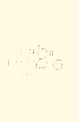 CCO[C@@H]1COC[C@@H]1Oc1ncc(-c2ccc(F)c(Cl)c2F)c2ncnc(N)c12